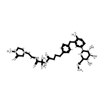 CS#CC1O[C@@H](c2ccc(C)c(Cc3ccc(CCCC(=O)NC(C)(C)C(=O)NCCN4CCN(C)C(=O)C4)cc3)c2)[C@H](O)[C@@H](O)[C@@H]1O